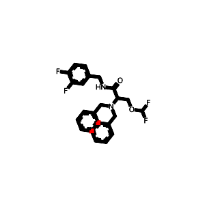 O=C(NCc1ccc(F)c(F)c1)C(COC(F)F)N(Cc1ccccc1)Cc1ccccc1